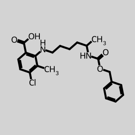 Cc1c(Cl)ccc(C(=O)O)c1NCCCCC(C)NC(=O)OCc1ccccc1